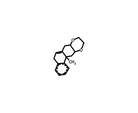 CC12CC3OCCOC3CC1=CCc1ccccc12